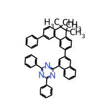 CC1(C)c2ccc(-c3ccccc3)cc2-c2cc(-c3cc(-c4nc(-c5ccccc5)nc(-c5ccccc5)n4)c4ccccc4c3)ccc2C1(C)C